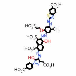 Cc1cc(N=Nc2c(S(=O)(=O)O)cc3c(S(=O)(=O)O)c(N=Nc4c(CC(=O)O)nn(-c5ccc(C(=O)O)cc5)c4O)ccc3c2O)c(OCCS(=O)(=O)O)cc1N=Nc1nc2ccc(C(=O)O)cc2s1